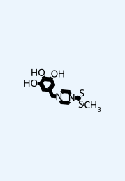 CSC(=S)N1CCN(Cc2cc(O)c(O)c(O)c2)CC1